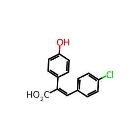 O=C(O)C(=Cc1ccc(Cl)cc1)c1ccc(O)cc1